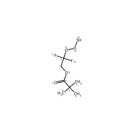 CC(C)(C)C(=O)OCC(F)(F)OOS